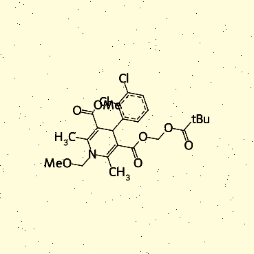 COCN1C(C)=C(C(=O)OC)C(c2cccc(Cl)c2Cl)C(C(=O)OCOC(=O)C(C)(C)C)=C1C